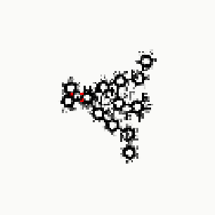 N#Cc1c(-n2c3cc(-c4cccc(-c5ccccc5)n4)ccc3c3ccc(-c4cccc(-c5ccccc5)n4)cc32)cc(-c2c(F)c(F)c(F)c(F)c2F)cc1-n1c2cc(-c3cccc(-c4ccccc4)n3)ccc2c2ccc(-c3cccc(-c4ccccc4)n3)cc21